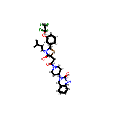 CC(C)CCN1C(=O)C(CC(=O)N2CCC(N3Cc4ccccc4NC3=O)CC2)SC1c1cccc(OC(F)(F)C(F)F)c1